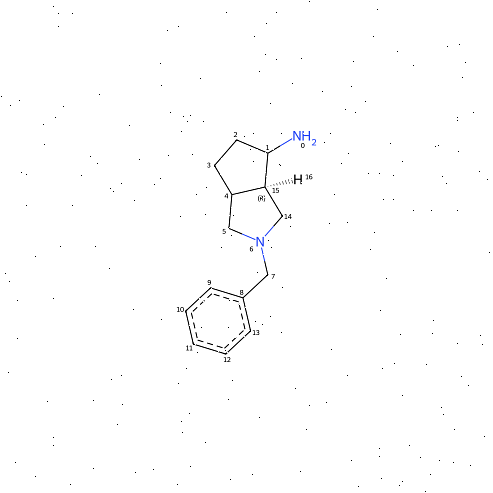 NC1CCC2CN(Cc3ccccc3)C[C@H]12